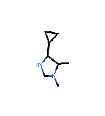 CC1C(C2CC2)NCN1C